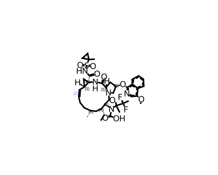 CC[C@@H]1C[C@H](C)CC/C=C\[C@@H]2C[C@@]2(C(=O)NS(=O)(=O)C2(C)CC2)NC(=O)[C@@H]2C[C@@H](Oc3ncc(OC)c4ccccc34)CN2C(=O)[C@H]1N(C(=O)O)C(C)(C)C(C)(F)F